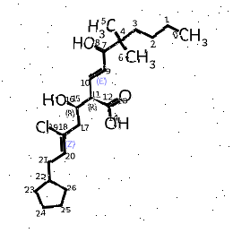 CCCCC(C)(C)C(O)/C=C/[C@@H](C(=O)O)[C@H](O)C/C(Cl)=C/CC1CCCC1